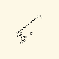 CCCCCCCCCCCCCC(=O)OC(=O)C(N)CC(=O)[O-].[K+]